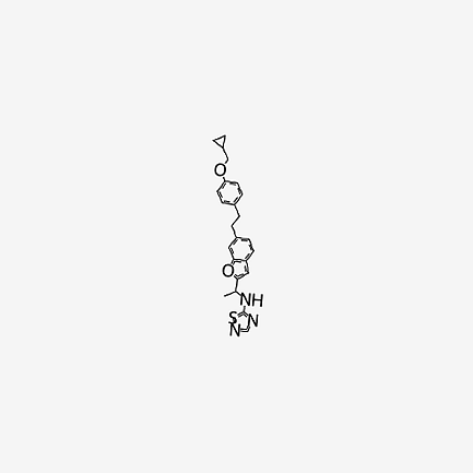 CC(Nc1ncns1)c1cc2ccc(CCc3ccc(OCC4CC4)cc3)cc2o1